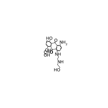 Nc1ccc(NCCNCCO)c2c1C(=O)c1c(O)ccc(O)c1C2=O.O=CO